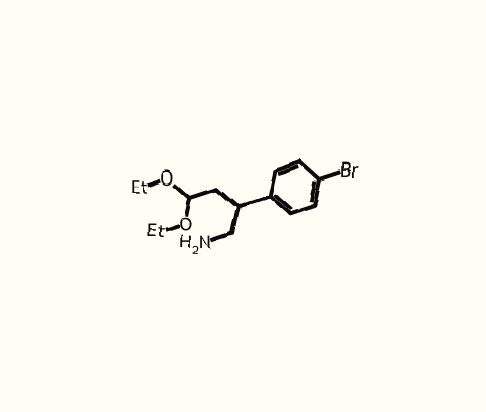 CCOC(CC(CN)c1ccc(Br)cc1)OCC